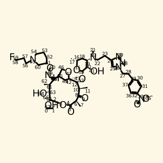 CC[C@H]1OC(=O)[C@H](C)C(=O)[C@H](C)[C@@H](O[C@@H]2O[C@H](C)C[C@H](N(C)CCc3cn(CCc4ccc([N+](=O)[O-])cc4)nn3)[C@H]2O)[C@@]2(C)C[C@@H](CO2)/C(=N\O[C@@H]2CCCN(CCCF)C2)[C@H](C)[C@@H](O)[C@]1(C)O